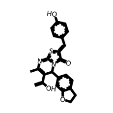 C=C(O)C1=C(C)N=c2s/c(=C\c3ccc(O)cc3)c(=O)n2C1c1ccc2c(c1)OCC2